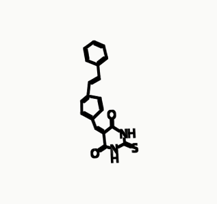 O=C1NC(=S)NC(=O)C1=Cc1ccc(C=Cc2ccccc2)cc1